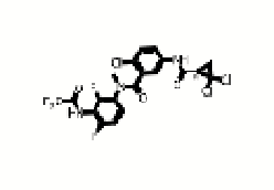 CN(C(=O)c1cc(NC(=O)[C@H]2CC2(Cl)Cl)ccc1Cl)c1ccc(F)c(NC(=O)C(F)(F)F)c1F